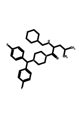 CC(C)CC(NCC1CCCCC1)C(=O)N1CCN(C(c2ccc(F)cc2)c2ccc(F)cc2)CC1